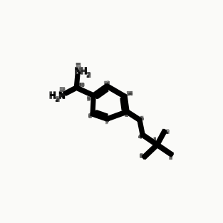 CC(C)(C)CCc1ccc(C(N)N)cc1